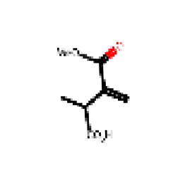 C=C(C(=O)OC)C(C)C(=O)O